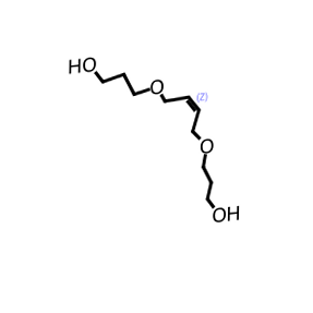 OCCCOC/C=C\COCCCO